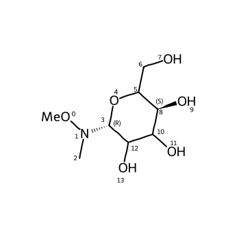 CON(C)[C@@H]1OC(CO)[C@@H](O)C(O)C1O